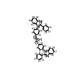 B(Oc1ccc(-n2c(-c3ccccc3)nc3ccccc32)cc1)Oc1ccc(-n2c(-c3ccccc3)nc3ccccc32)cc1